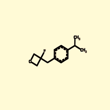 CC(C)c1ccc(CC2(F)COC2)cc1